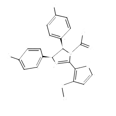 CCOc1ccsc1C1=N[C@@H](c2ccc(Cl)cc2)[C@@H](c2ccc(Cl)cc2)N1C(=O)Cl